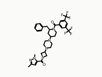 Cc1cc(C(=O)N2CC(N3CCN(C4CCN(C(=O)c5cc(C(F)(F)F)cc(C(F)(F)F)c5)C(Cc5ccccc5)C4)CC3)C2)n(C)n1